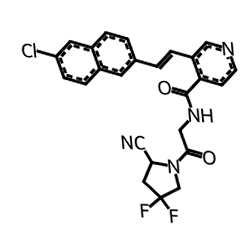 N#CC1CC(F)(F)CN1C(=O)CNC(=O)c1ccncc1/C=C/c1ccc2cc(Cl)ccc2c1